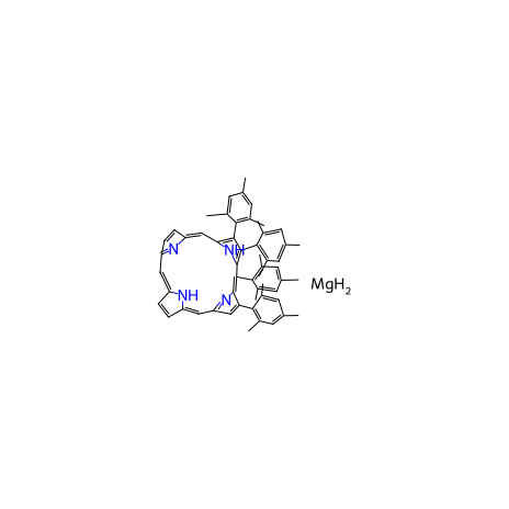 Cc1cc(C)c(C2=Cc3cc4ccc(cc5nc(cc6[nH]c(c(-c7c(C)cc(C)cc7C)c2n3)c(-c2c(C)cc(C)cc2C)c6-c2c(C)cc(C)cc2C)C=C5)[nH]4)c(C)c1.[MgH2]